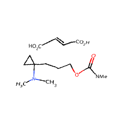 CNC(=O)OCCCC1(N(C)C)CC1.O=C(O)C=CC(=O)O